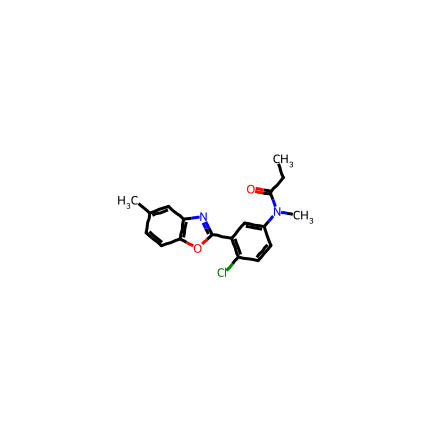 CCC(=O)N(C)c1ccc(Cl)c(-c2nc3cc(C)ccc3o2)c1